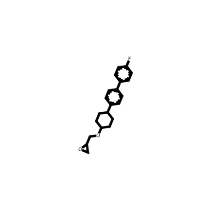 Fc1ccc(-c2ccc(C3CCC(OCC4CO4)CC3)cc2)cc1